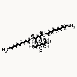 CCCCCCCCCCCCOC(=O)CC[C@H](N)C(=O)OCCCCCCCCCCCC.NC(=O)[C@H](O)[C@@H](O)[C@H](O)[C@H](O)CO